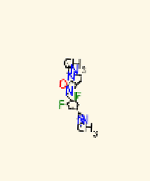 Cc1cn2c3c(ccc2n1)CN(Cc1c(F)cc(-c2cnn(C)c2)cc1F)C3=O